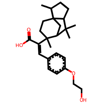 CC1CCC2C(C)(C)C3CC12CCC3(C)/C(=C\c1ccc(OCCO)cc1)C(=O)O